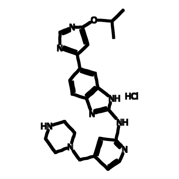 CC(C)Oc1cc(-c2ccc3nc(Nc4cc(CN5CCNCC5)ccn4)[nH]c3c2)ncn1.Cl